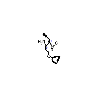 C#C/C=C(\C(N)=C/COc1ccccc1)[N+](=O)[O-]